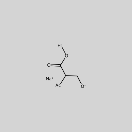 CCOC(=O)C(C[O-])C(C)=O.[Na+]